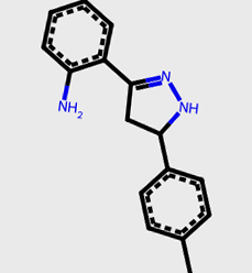 Cc1ccc(C2CC(c3ccccc3N)=NN2)cc1